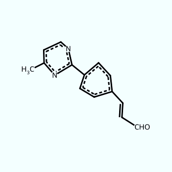 Cc1ccnc(-c2ccc(C=CC=O)cc2)n1